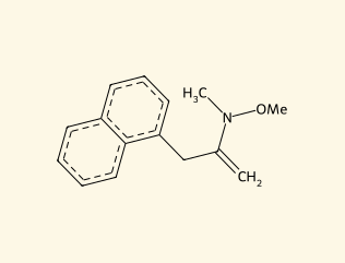 C=C(Cc1cccc2ccccc12)N(C)OC